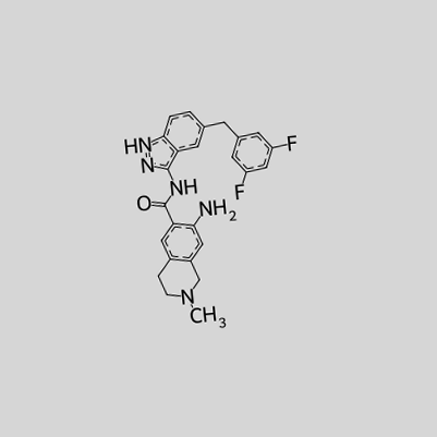 CN1CCc2cc(C(=O)Nc3n[nH]c4ccc(Cc5cc(F)cc(F)c5)cc34)c(N)cc2C1